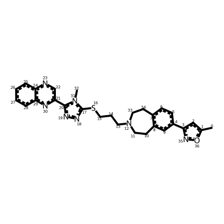 Cc1cc(-c2ccc3c(c2)CCN(CCCSc2nnc(-c4cnc5ccccc5n4)n2C)CC3)no1